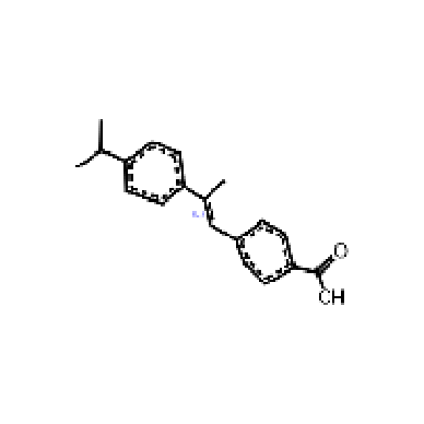 C/C(=C\c1ccc(C(=O)O)cc1)c1ccc(C(C)C)cc1